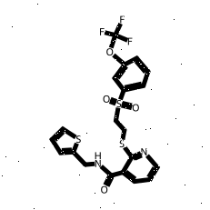 O=C(NCc1cccs1)c1cccnc1SCCS(=O)(=O)c1cccc(OC(F)(F)F)c1